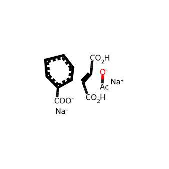 CC(=O)[O-].O=C(O)/C=C/C(=O)O.O=C([O-])c1ccccc1.[Na+].[Na+]